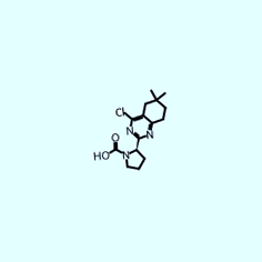 CC1(C)CCc2nc([C@H]3CCCN3C(=O)O)nc(Cl)c2C1